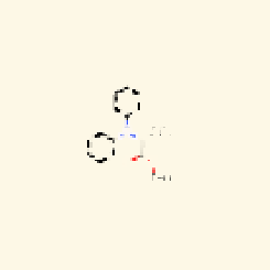 CC(C)(C)OC(=O)[C@@H](C(=O)O)N(c1ccccc1)c1ccccc1